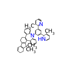 CC1=CC=CNC1c1cc(-c2nc#ccc2C)cc(N2c3ccccc3C3=C(C4=C(CC3)C3=C(CCC=C3)C4(C)C)c3ccccc32)c1